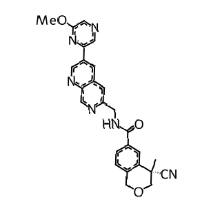 COc1cncc(-c2cnc3cnc(CNC(=O)c4ccc5c(c4)[C@](C)(C#N)COC5)cc3c2)n1